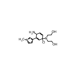 Cn1ccc(C2=CC(Cl)(N(CCO)CCO)C=CC2N)c1